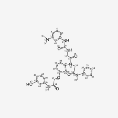 CN(C)c1cccc(NC(=O)NCC(=O)N(CC(=O)N(C)c2ccccc2)c2cccc(OCC(=O)N(C)c3cccc(O)c3)c2)c1